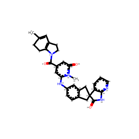 CC1=CC2=C(CC1)N(C(=O)c1cc(Nc3ccc4c(c3)CC3(C4)C(=O)Nc4ncccc43)n(C)c(=O)c1)CC2